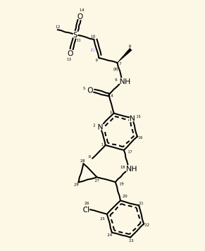 Cc1nc(C(=O)N[C@H](C)/C=C/S(C)(=O)=O)ncc1NC(c1ccccc1Cl)C1CC1